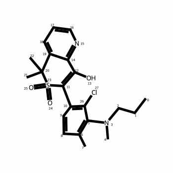 CCCN(C)c1c(C)ccc(C2=C(O)c3ncccc3C(C)(C)S2(=O)=O)c1Cl